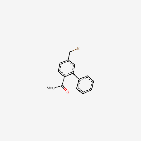 COC(=O)c1ccc(CBr)cc1-c1ccccc1